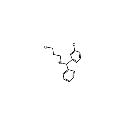 ClCCCNC(c1ccccc1)c1cccc(Cl)c1